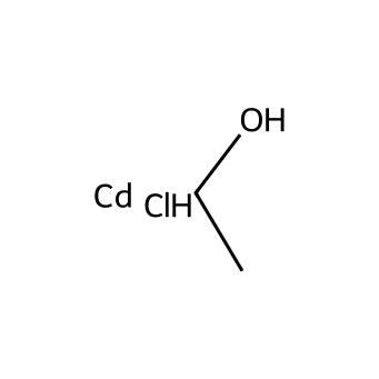 CCO.Cl.[Cd]